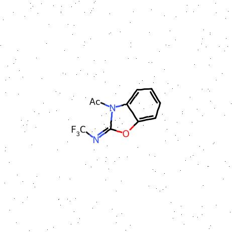 CC(=O)n1c(=NC(F)(F)F)oc2ccccc21